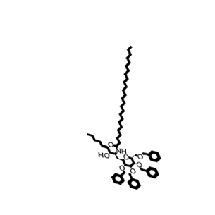 CCCCC=C[C@@H](O)[C@H](C[C@H]1O[C@H](COCc2ccccc2)[C@H](OCc2ccccc2)[C@H](OCc2ccccc2)[C@H]1OCc1ccccc1)NC(=O)CCCCCCCCCCCCCCCCCCCCCCCCC